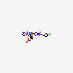 CCC(C)(NS(=O)(=O)c1cccnc1)c1cc(CC(=O)O)ccc1Oc1ccc(C(=O)NCCc2ccc(Cl)cc2)cc1